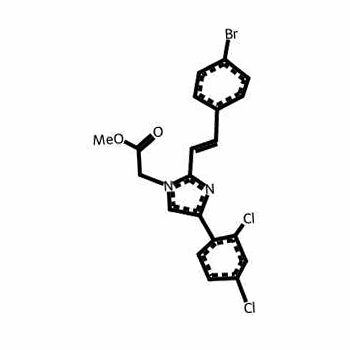 COC(=O)Cn1cc(-c2ccc(Cl)cc2Cl)nc1C=Cc1ccc(Br)cc1